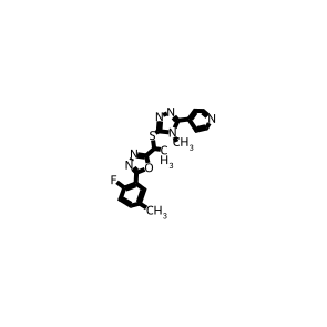 Cc1ccc(F)c(-c2nnc(C(C)Sc3nnc(-c4ccncc4)n3C)o2)c1